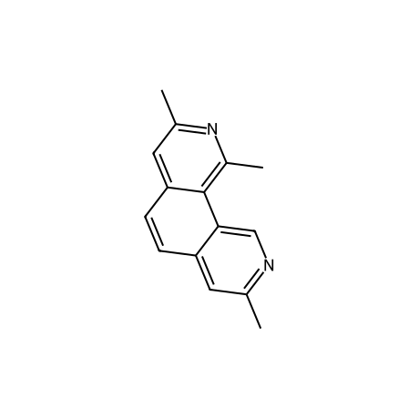 Cc1cc2ccc3cc(C)nc(C)c3c2cn1